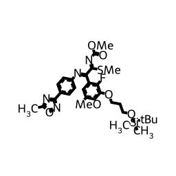 COC(=O)N=C(SC)C(=Nc1ccc(-c2noc(C)n2)cc1)c1cc(OC)cc(OCCCO[Si](C)(C)C(C)(C)C)c1F